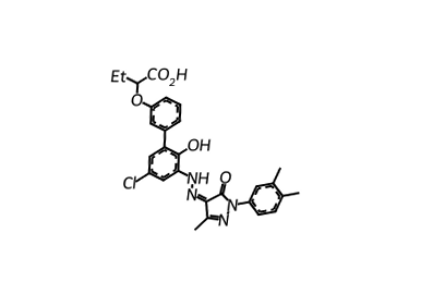 CCC(Oc1cccc(-c2cc(Cl)cc(NN=C3C(=O)N(c4ccc(C)c(C)c4)N=C3C)c2O)c1)C(=O)O